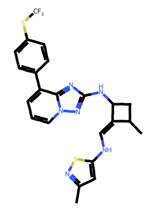 Cc1cc(N/C=C2\C(C)CC2Nc2nc3c(-c4ccc(SC(F)(F)F)cc4)cccn3n2)sn1